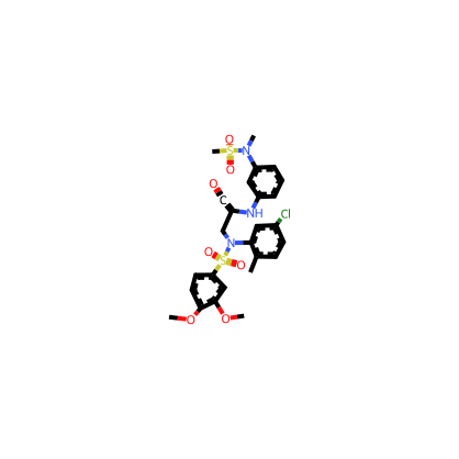 COc1ccc(S(=O)(=O)N(CC(=C=O)Nc2cccc(N(C)S(C)(=O)=O)c2)c2cc(Cl)ccc2C)cc1OC